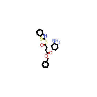 NC1CCCCC1.O=C(CCC(=O)Sc1nc2ccccc2s1)OCc1ccccc1